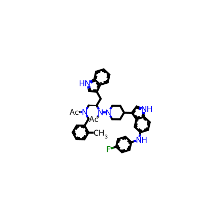 CC(=O)N(Cc1ccccc1C)C[C@@H](Cc1c[nH]c2ccccc12)N(C(C)=O)N1CCC(c2c[nH]c3ccc(Nc4ccc(F)cc4)cc23)CC1